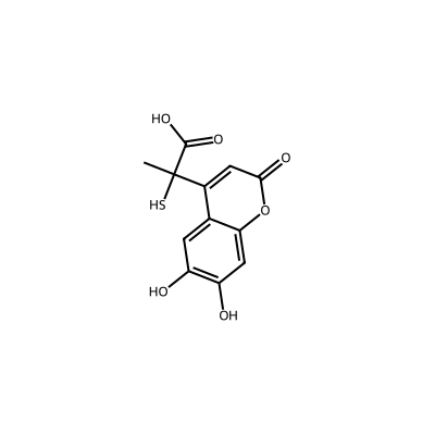 CC(S)(C(=O)O)c1cc(=O)oc2cc(O)c(O)cc12